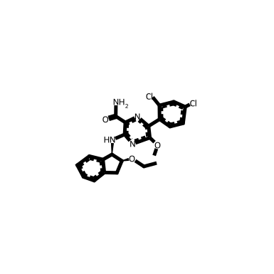 CCO[C@H]1Cc2ccccc2[C@H]1Nc1nc(OC)c(-c2ccc(Cl)cc2Cl)nc1C(N)=O